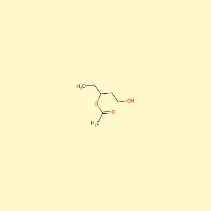 CCC(CCO)OC(C)=O